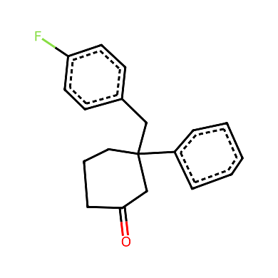 O=C1CCCC(Cc2ccc(F)cc2)(c2ccccc2)C1